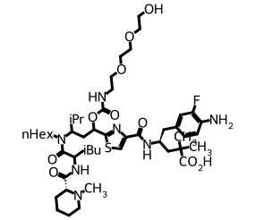 CCCCCCN(C(=O)C(NC(=O)[C@H]1CCCCN1C)C(C)CC)C(CC(OC(=O)NCCOCCOCCO)c1nc(C(=O)N[C@@H](Cc2ccc(N)c(F)c2)CC(C)(C)C(=O)O)cs1)C(C)C